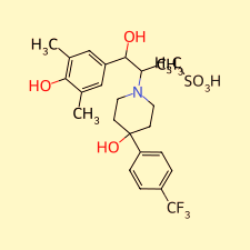 CS(=O)(=O)O.Cc1cc(C(O)C(C)N2CCC(O)(c3ccc(C(F)(F)F)cc3)CC2)cc(C)c1O